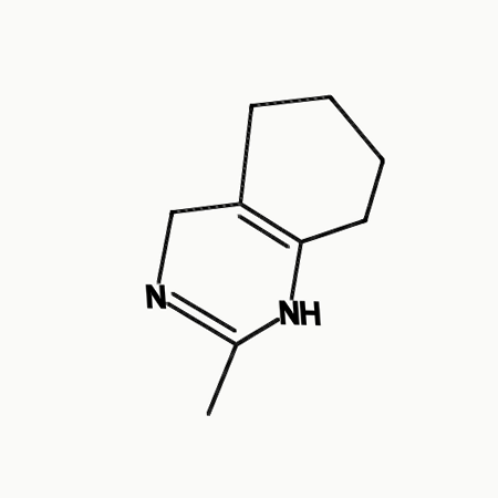 CC1=NCC2=C(CCCC2)N1